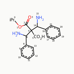 CC(C)OC(=O)C(C(=O)O)(C(N)c1ccccc1)C(N)c1ccccc1